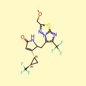 COCc1nn2c(CC3NC(=O)C=C3[C@@H]3C[C@H]3C(F)(F)F)c(C(F)(F)F)nc2s1